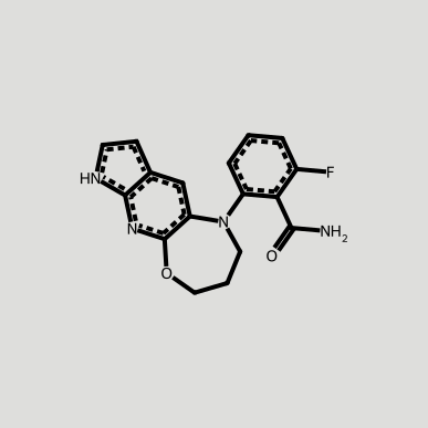 NC(=O)c1c(F)cccc1N1CCCOc2nc3[nH]ccc3cc21